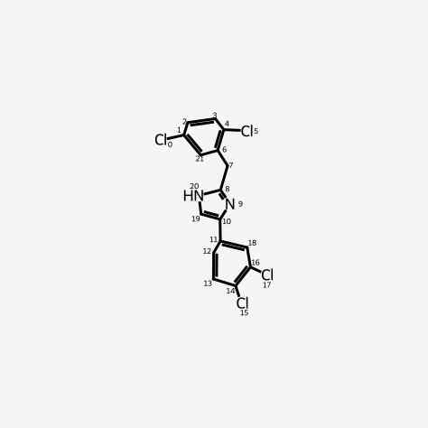 Clc1ccc(Cl)c(Cc2nc(-c3ccc(Cl)c(Cl)c3)c[nH]2)c1